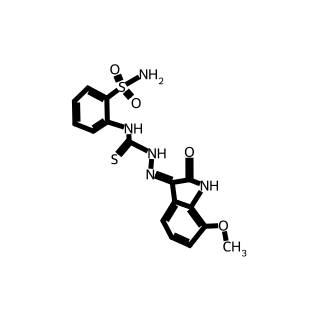 COc1cccc2c1NC(=O)C2=NNC(=S)Nc1ccccc1S(N)(=O)=O